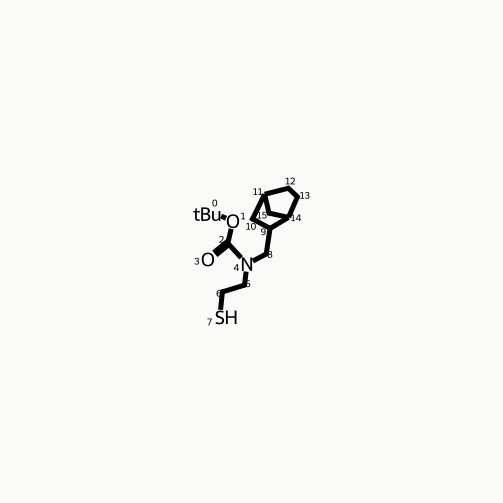 CC(C)(C)OC(=O)N(CCS)CC1CC2CCC1C2